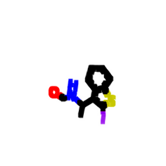 CC(NC=O)c1c(I)sc2ccccc12